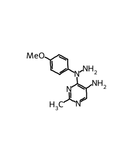 COc1ccc(N(N)c2nc(C)ncc2N)cc1